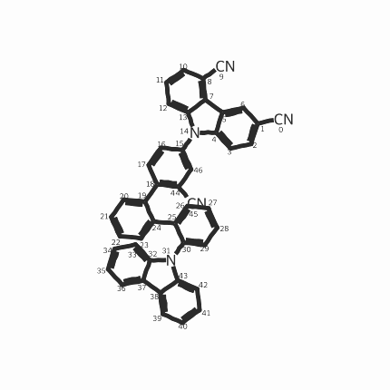 N#Cc1ccc2c(c1)c1c(C#N)cccc1n2-c1ccc(-c2ccccc2-c2ccccc2-n2c3ccccc3c3ccccc32)c(C#N)c1